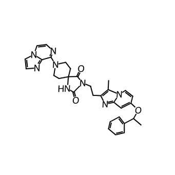 Cc1c(CCN2C(=O)NC3(CCN(c4nccn5ccnc45)CC3)C2=O)nc2cc(OC(C)c3ccccc3)ccn12